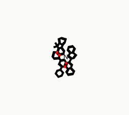 CC1(C)c2ccccc2-c2cc(N(c3ccc(C4CCCCC4)cc3-c3ccccc3)c3c(-c4ccc5ccccc5c4)ccc4ccccc34)ccc21